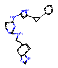 c1ccc([C@H]2CC2c2cc(Nc3ccnc(NCc4ccc5[nH]cnc5c4)n3)n[nH]2)cc1